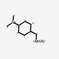 CC(=O)NCC1CCC(N(C)C)CC1